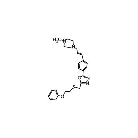 CN1CCN(C/C=C/c2ccc(-c3nnc(CSCCOc4ccccc4)o3)cc2)CC1